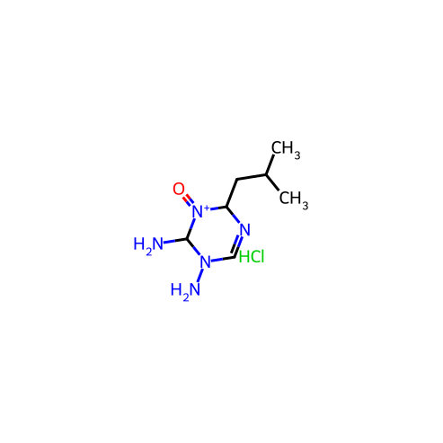 CC(C)CC1N=CN(N)C(N)[N+]1=O.Cl